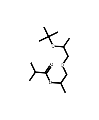 CC(COCC(C)OC(C)(C)C)OC(=O)C(C)C